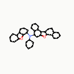 c1ccc(N(c2cc3oc4c5ccccc5ccc4c3c3ccccc23)c2cccc3c2oc2ccccc23)cc1